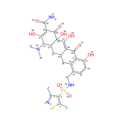 Cc1nsc(C)c1S(=O)(=O)NCc1ccc(O)c2c1CC1CC3C(N(C)C)C(O)=C(C(N)=O)C(=O)C3(O)C(O)=C1C2=O